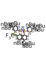 CCCC[Si](CCCC)(CCCC)c1ccc(P(c2ccc([Si](CCCC)(CCCC)CCCC)cc2)N(C)P(c2ccc([Si](CCCC)(CCCC)CCCC)cc2)c2ccccc2SC(F)(F)F)cc1